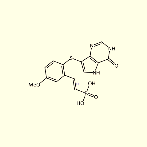 COc1ccc(Sc2c[nH]c3c(=O)[nH]cnc23)c(/C=C/P(=O)(O)O)c1